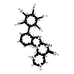 O=c1[nH]c2nc3c(-c4c(F)c(F)c(F)c(F)c4F)cccc3n2c2ncncc12